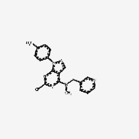 Cc1ccc(-n2ncc3c(N(C)Cc4cccnc4)nc(Cl)nc32)cc1